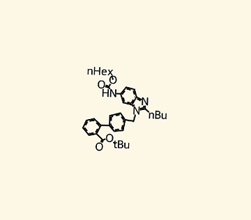 CCCCCCOC(=O)Nc1ccc2nc(CCCC)n(Cc3ccc(-c4ccccc4C(=O)OC(C)(C)C)cc3)c2c1